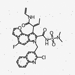 C=CNC(=O)/C(=C\C)c1c(C(=O)NS(=O)(=O)N(C)C)n(Cc2cc3ccccc3nc2Cl)c2cc(F)c3ccoc3c12